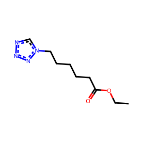 CCOC(=O)CCCCCn1cnnn1